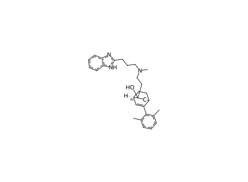 Cc1cccc(C)c1C1=C[C@H]2CCC1CC2(O)CCN(C)CCCc1nc2ccccc2[nH]1